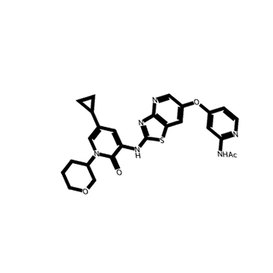 CC(=O)Nc1cc(Oc2cnc3nc(Nc4cc(C5CC5)cn(C5CCCOC5)c4=O)sc3c2)ccn1